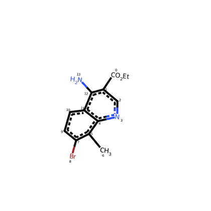 CCOC(=O)c1cnc2c(C)c(Br)ccc2c1N